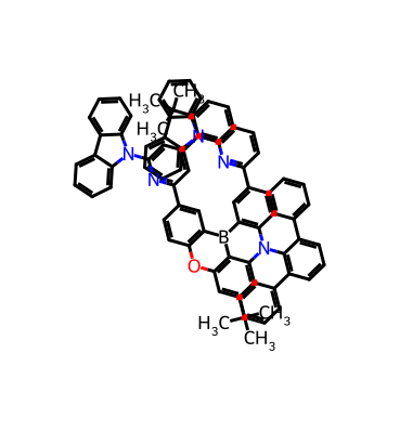 CC(C)(C)c1cc2c3c(c1)N(c1c(-c4ccccc4)cccc1-c1ccccc1)c1ccc(-c4cccc(-n5c6ccccc6c6ccccc65)n4)cc1B3c1cc(-c3cc(-c4ccccc4C(C)(C)C)cc(-n4c5ccccc5c5ccccc54)n3)ccc1O2